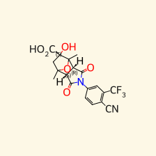 CC12C[C@@](O)(C(=O)O)C(C)(O1)[C@@H]1C(=O)N(c3ccc(C#N)c(C(F)(F)F)c3)C(=O)[C@@H]12